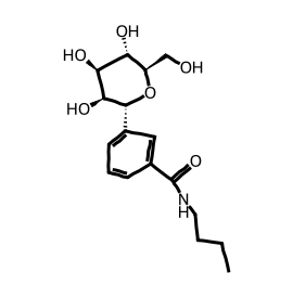 CCCCNC(=O)c1cccc([C@H]2O[C@H](CO)[C@@H](O)[C@H](O)[C@@H]2O)c1